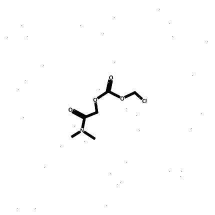 CN(C)C(=O)COC(=O)OCCl